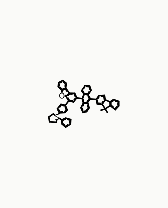 CC1(C)c2ccccc2-c2ccc(-c3c4ccccc4c(-c4cc(-c5ccc(S6(c7ccccc7)CCCC6)cc5)c5oc6ccccc6c5c4)c4ccccc34)cc21